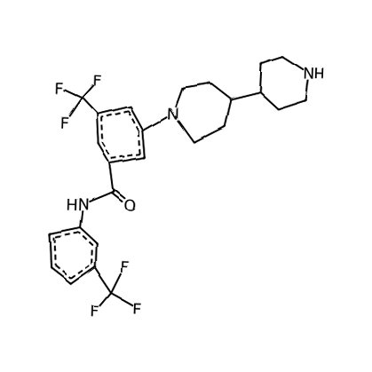 O=C(Nc1cccc(C(F)(F)F)c1)c1cc(N2CCC(C3CCNCC3)CC2)cc(C(F)(F)F)c1